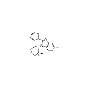 Cc1ccc2c(c1)nc(-c1ccccc1)n2C1CCCC[C@@H]1C